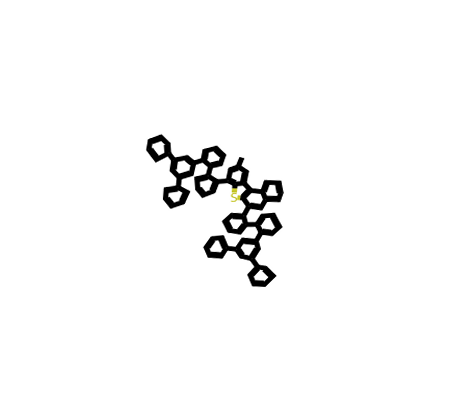 Cc1cc(-c2ccccc2-c2ccccc2-c2cc(-c3ccccc3)cc(-c3ccccc3)c2)c2sc3c(-c4ccccc4-c4ccccc4-c4cc(-c5ccccc5)cc(-c5ccccc5)c4)cc4ccccc4c3c2c1